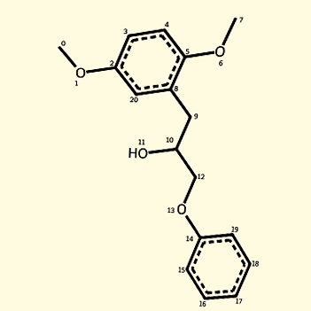 COc1ccc(OC)c(CC(O)COc2ccccc2)c1